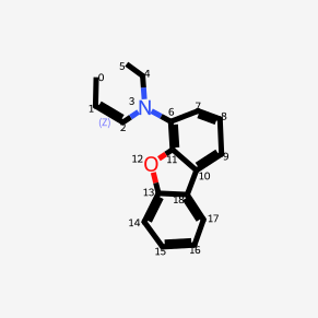 C/C=C\N(CC)c1cccc2c1oc1ccccc12